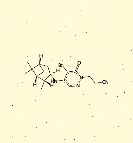 C[C@@H]1[C@H]2C[C@@H](C[C@H]1Nc1cnn(CCC#N)c(=O)c1Br)C2(C)C